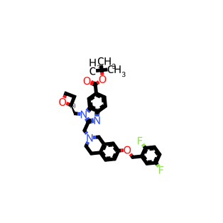 CC(C)(C)OC(=O)c1ccc2nc(CN3CCc4ccc(OCc5cc(F)ccc5F)cc4C3)n(C[C@@H]3CCO3)c2c1